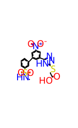 CNS(=O)(=O)c1cccc(-c2cc(-c3nnc(SCC(=O)O)[nH]3)cc([N+](=O)[O-])c2)c1